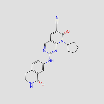 N#Cc1cc2cnc(Nc3ccc4c(c3)C(=O)NCC4)nc2n(C2CCCC2)c1=O